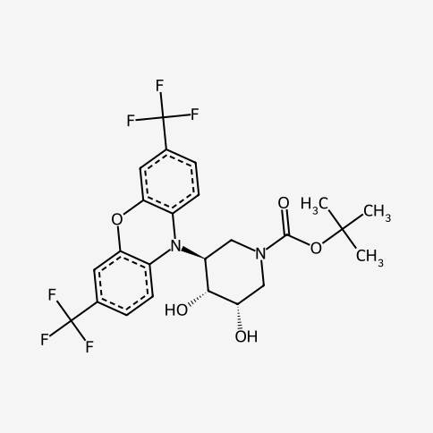 CC(C)(C)OC(=O)N1C[C@H](O)[C@H](O)[C@@H](N2c3ccc(C(F)(F)F)cc3Oc3cc(C(F)(F)F)ccc32)C1